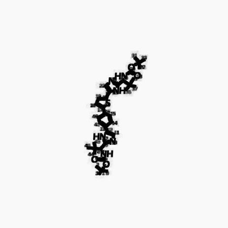 CC(C)(C)OC(=O)N[C@H](c1ncc(-c2ccc(-c3ccc(-c4cnc([C@@H](NC(=O)OC(C)(C)C)C(C)(C)C)[nH]4)s3)cc2)[nH]1)C(C)(C)C